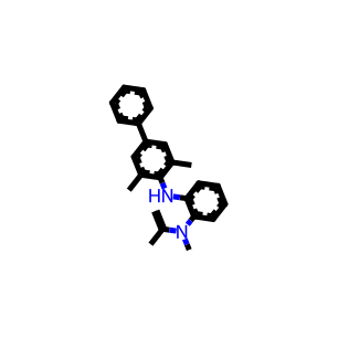 C=C(C)N(C)c1ccccc1Nc1c(C)cc(-c2ccccc2)cc1C